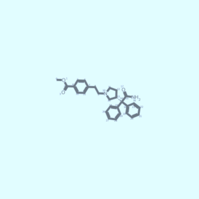 COC(=O)c1ccc(CCN2CC[C@H](C(C(N)=O)(c3ccccc3)c3ccccc3)C2)cc1